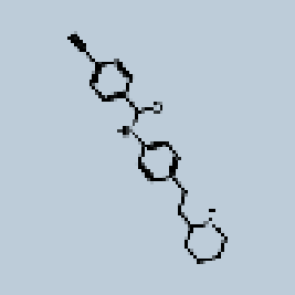 C#Cc1ccc(C(O)Nc2ccc(CCC3CCCCN3)cc2)cc1